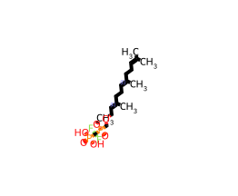 COP(=O)(COC/C=C(\C)CC/C=C(\C)CCC=C(C)C)C(F)(F)P(=O)(O)O